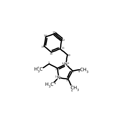 CCc1n(C)c(C)c(C)[n+]1Cc1c#cccc1